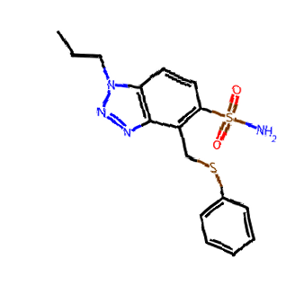 CCCn1nnc2c(CSc3ccccc3)c(S(N)(=O)=O)ccc21